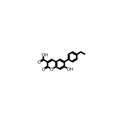 CCc1ccc(-c2cc3cc(C(=O)O)c(=O)oc3cc2O)cc1